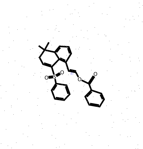 CC1(C)CC=C(S(=O)(=O)c2ccccc2)c2c(/C=C/OC(=O)c3ccccc3)cccc21